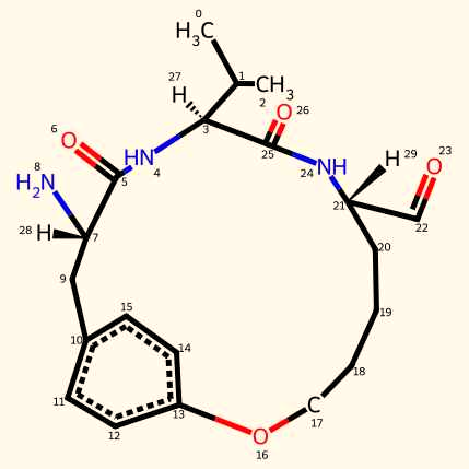 CC(C)[C@@H]1NC(=O)[C@@H](N)Cc2ccc(cc2)OCCCC[C@@H](C=O)NC1=O